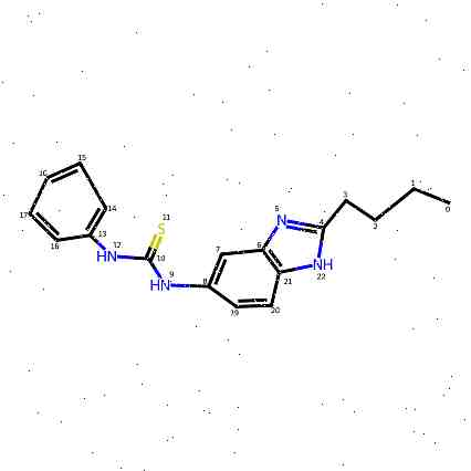 CCCCc1nc2cc(NC(=S)Nc3ccccc3)ccc2[nH]1